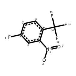 O=[N+]([O-])c1cc(F)[c]cc1C(F)(F)F